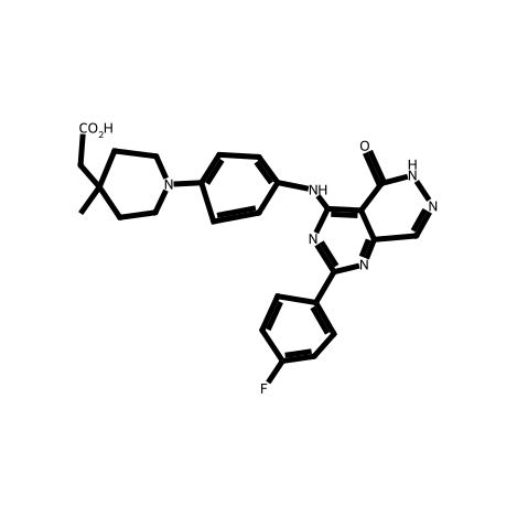 CC1(CC(=O)O)CCN(c2ccc(Nc3nc(-c4ccc(F)cc4)nc4cn[nH]c(=O)c34)cc2)CC1